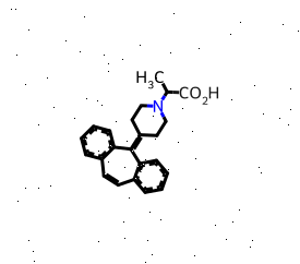 CC(C(=O)O)N1CCC(=C2c3ccccc3C=Cc3ccccc32)CC1